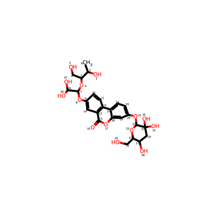 CC(O)C(CO)OC(Oc1ccc2c(c1)c(=O)oc1cc(OC3OC(CO)C(O)CC3(O)O)ccc12)C(O)O